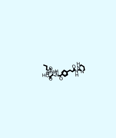 CCCS(=O)(=O)N[C@@H](CNC(=O)c1ccc(CCC(=O)NC2=NCCCN2)cc1)C(=O)O